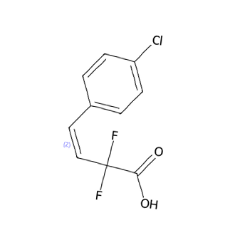 O=C(O)C(F)(F)/C=C\c1ccc(Cl)cc1